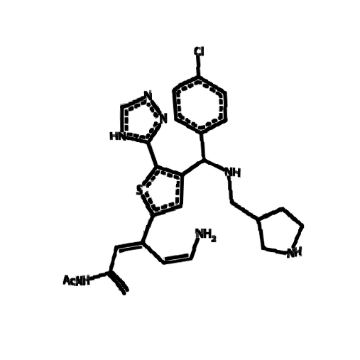 C=C(/C=C(\C=C/N)c1cc(C(NCC2CCNC2)c2ccc(Cl)cc2)c(-c2nnc[nH]2)s1)NC(C)=O